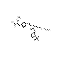 CCCCCCCN(CCOc1ccc(CC(OCC)C(=O)O)cc1)C(=O)Oc1cccc(C(F)(F)F)c1